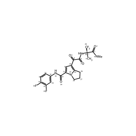 CNC(=O)[C@](C)(NC(=O)C(=O)c1cc(C(=O)Nc2ccc(F)c(F)c2)n2c1CCC2)C(F)(F)F